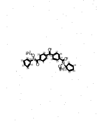 CC(C)ON(C(=O)c1ccc(C(=O)c2ccc(C(=O)N(OC(C)C)c3ccccc3)cc2)cc1)c1ccccc1